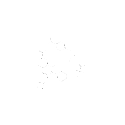 CN(CCC(=O)N1CCc2nc(SC3CCC3)n(-c3ccccc3)c(=O)c2C1)c1ccc(OC(F)(F)F)cc1.O=C(O)C(F)(F)F